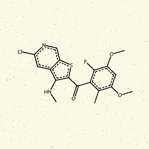 CNc1c(C(=O)c2c(C)c(OC)cc(OC)c2F)sc2cnc(Cl)cc12